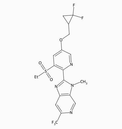 CCS(=O)(=O)c1cc(OCC2CC2(F)F)cnc1-c1nc2cc(C(F)(F)F)ncc2n1C